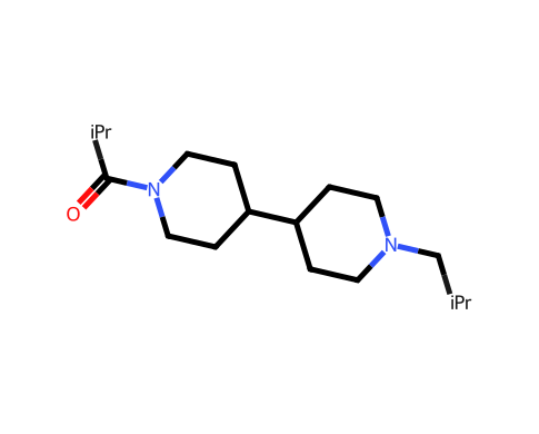 CC(C)CN1CCC(C2CCN(C(=O)C(C)C)CC2)CC1